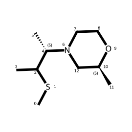 CSC(C)[C@H](C)N1CCO[C@@H](C)C1